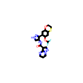 O=C(Nc1c[nH]nc1-c1cc2c(cc1OC(F)F)SCCO2)c1cnn2cccnc12